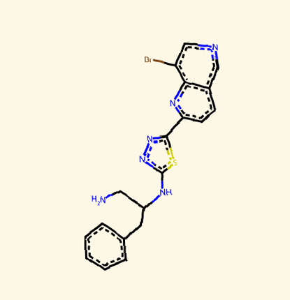 NCC(Cc1ccccc1)Nc1nnc(-c2ccc3cncc(Br)c3n2)s1